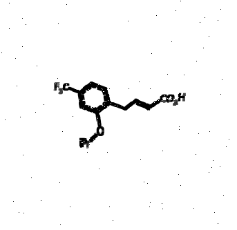 CC(C)Oc1cc(C(F)(F)F)ccc1CC=CC(=O)O